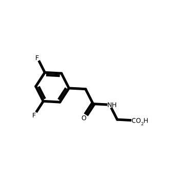 O=C(O)CNC(=O)Cc1cc(F)cc(F)c1